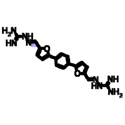 N=C(N)N/N=C/c1ccc(-c2ccc(-c3ccc(/C=N/NC(=N)N)o3)cc2)o1